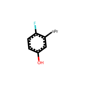 CCCc1cc(O)ccc1F